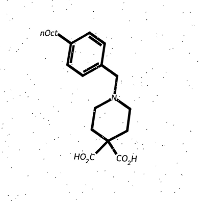 CCCCCCCCc1ccc(CN2CCC(C(=O)O)(C(=O)O)CC2)cc1